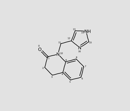 O=C1CCc2ccccc2N1Cc1c[nH]cn1